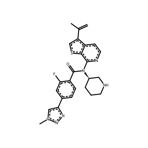 C=C(C)c1csc2c(N(C(=O)c3ccc(-c4cn(C)nn4)cc3F)[C@@H]3CCCNC3)nccc12